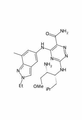 CCn1cc2cc(Nc3nc(N[C@H](CC(C)C)[C@@H](N)COC)nnc3C(N)=O)cc(C)c2n1